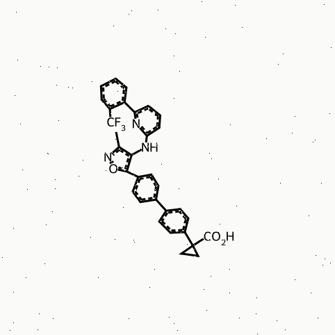 Cc1noc(-c2ccc(-c3ccc(C4(C(=O)O)CC4)cc3)cc2)c1Nc1cccc(-c2ccccc2C(F)(F)F)n1